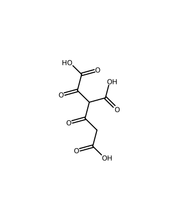 O=C(O)CC(=O)C(C(=O)O)C(=O)C(=O)O